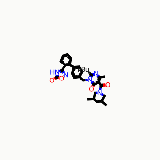 CCCCc1nc(C)c(C(=O)N2CC(C)CC(C)C2)c(=O)n1Cc1ccc(-c2ccccc2-c2noc(=O)[nH]2)cc1